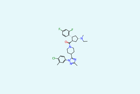 CCN(C)[C@@H]1C[C@@H](C(=O)N2CCC(c3nc(C)nn3-c3ccc(Cl)c(C)c3)CC2)[C@H](c2ccc(F)cc2F)C1